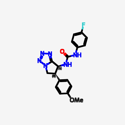 COc1ccc([C@@H]2Cn3nnnc3[C@H]2NC(=O)Nc2ccc(F)cc2)cc1